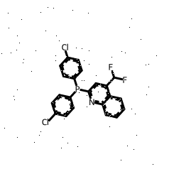 FC(F)c1cc(P(c2ccc(Cl)cc2)c2ccc(Cl)cc2)nc2ccccc12